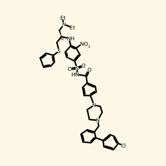 CCN(CC)C[C@H](CSc1ccccc1)Nc1ccc(S(=O)(=O)NC(=O)c2ccc(N3CCN(Cc4ccccc4-c4ccc(Cl)cc4)CC3)cc2)cc1[N+](=O)[O-]